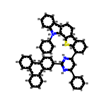 c1ccc(-c2cc(-c3cccc4c3sc3c4ccc4c5ccccc5n(-c5ccccc5)c43)nc(-c3ccc4c5ccccc5c5ccccc5c4c3)n2)cc1